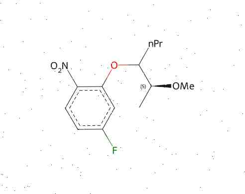 CCCC(Oc1cc(F)ccc1[N+](=O)[O-])[C@H](C)OC